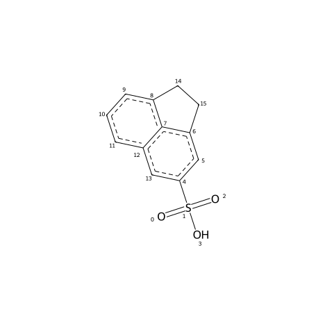 O=S(=O)(O)c1cc2c3c(cccc3c1)CC2